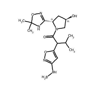 BBc1cc(C(C(=O)N2C[C@H](O)C[C@H]2C2=NOC(C)(C)N2)C(C)C)on1